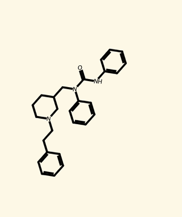 O=C(Nc1ccccc1)N(CC1CCCN(CCc2ccccc2)C1)c1ccccc1